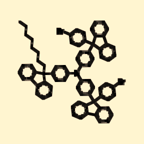 CCCCCCCCC1(c2ccc(N(c3ccc(C4(c5ccc(Br)cc5)c5ccccc5-c5ccccc54)cc3)c3ccc(C4(c5ccc(Br)cc5)c5ccccc5-c5ccccc54)cc3)cc2)c2ccccc2-c2ccccc21